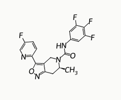 C[C@H]1Cc2noc(-c3ccc(F)cn3)c2CN1C(=O)Nc1cc(F)c(F)c(F)c1